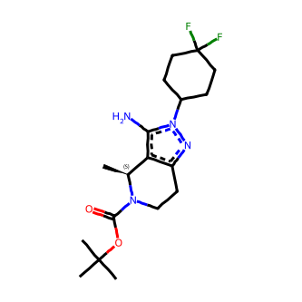 C[C@H]1c2c(nn(C3CCC(F)(F)CC3)c2N)CCN1C(=O)OC(C)(C)C